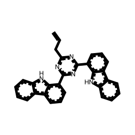 C=CCc1nc(-c2cccc3c2[nH]c2ccccc23)nc(-c2cccc3c2[nH]c2ccccc23)n1